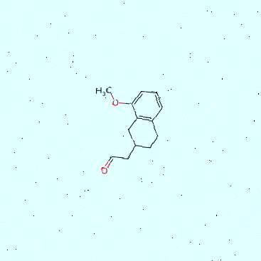 COc1cccc2c1CC(CC=O)CC2